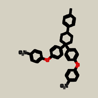 Cc1ccc(C2CCC(c3ccc(Oc4ccc([N+](=O)[O-])cc4)cc3)(c3ccc(Oc4ccc([N+](=O)[O-])cc4)cc3)CC2)cc1